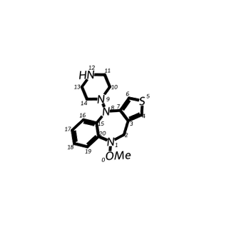 CON1Cc2cscc2N(N2CCNCC2)c2ccccc21